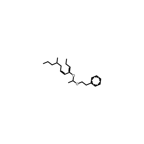 CC/C=C(\C=C/CC(C)CCC)OC(C)OCCc1ccccc1